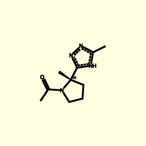 CC(=O)N1CCC[C@@]1(C)c1nnc(C)[nH]1